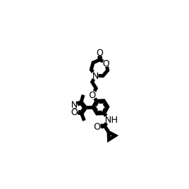 Cc1noc(C)c1-c1cc(NC(=O)C2CC2)ccc1OCCN1CCOC(=O)CC1